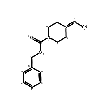 N#CN=S1CCN(C(=O)OCc2ccccc2)CC1